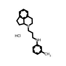 Cc1cccc(NCCCN2CCc3cccc4c3C2CC4)c1.Cl